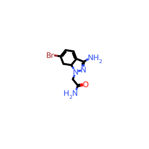 NC(=O)CN1N=C(N)C2=CC=C(Br)CC21